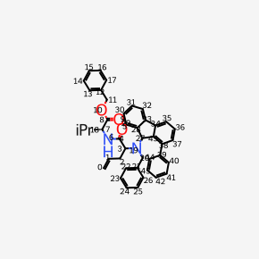 C=CCC(C(=O)N[C@H](C(=O)OCc1ccccc1)C(C)C)N(Cc1ccccc1)C1c2ccccc2-c2cccc(-c3ccccc3)c21